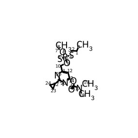 CCCS[P@@](=S)(OCC)OCc1cc(OC(=O)N(C)C)nc(C2CC2)n1